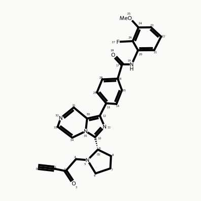 C#CC(=O)CN1CCC[C@H]1c1nc(-c2ccc(C(=O)Nc3cccc(OC)c3F)cc2)c2cnccn12